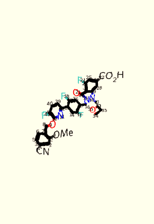 COc1cc(C#N)ccc1COc1nc(-c2cc(F)c(Cn3c(=O)c4c(F)cc(C(=O)O)cc4n3C[C@@H]3CCO3)cc2F)ccc1F